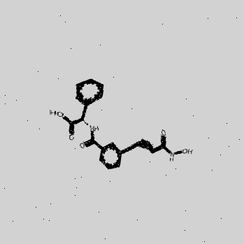 O=C(/C=C/c1cccc(C(=O)N[C@H](C(=O)O)c2ccccc2)c1)NO